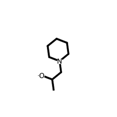 CC([O])CN1CCCCC1